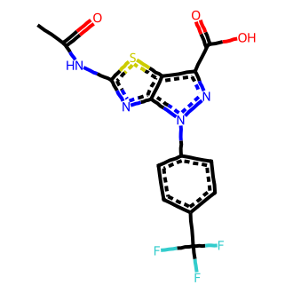 CC(=O)Nc1nc2c(s1)c(C(=O)O)nn2-c1ccc(C(F)(F)F)cc1